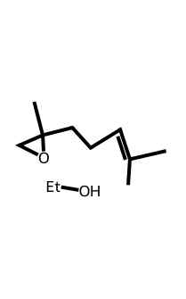 CC(C)=CCCC1(C)CO1.CCO